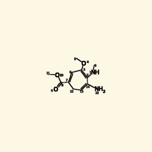 CNC1=C(OC)C=C(C(=O)OC)CC=C1N